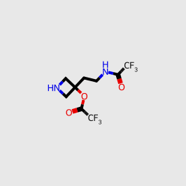 O=C(NCCC1(OC(=O)C(F)(F)F)CNC1)C(F)(F)F